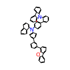 c1cc(-c2ccc(N(c3ccc(-c4ccccc4-n4c5ccccc5c5ccccc54)cc3)c3cccc4ccccc34)cc2)cc(-c2cccc3c2oc2ccccc23)c1